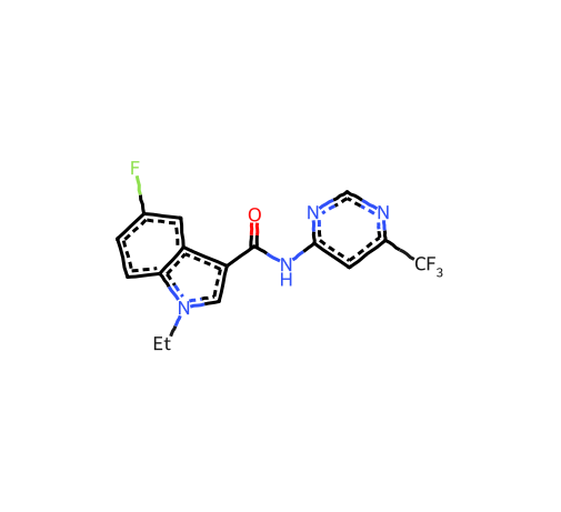 CCn1cc(C(=O)Nc2cc(C(F)(F)F)ncn2)c2cc(F)ccc21